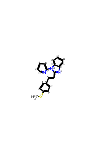 CSc1ccc(/C=C/c2nc3ccccc3n2-c2ccccn2)cc1